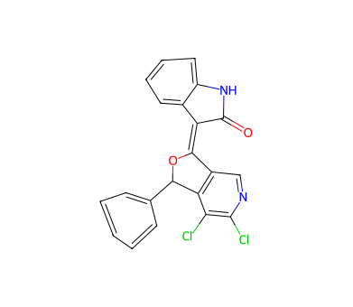 O=C1Nc2ccccc2/C1=C1\OC(c2ccccc2)c2c1cnc(Cl)c2Cl